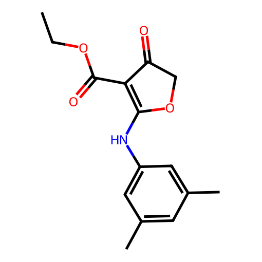 CCOC(=O)C1=C(Nc2cc(C)cc(C)c2)OCC1=O